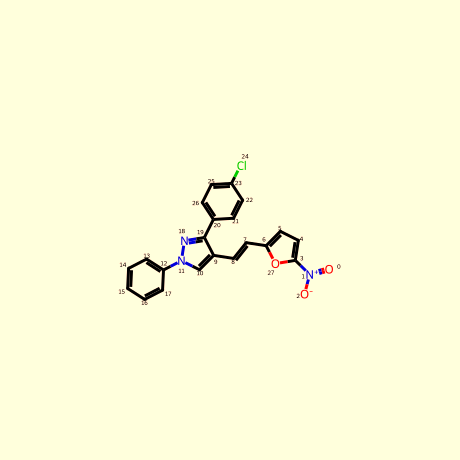 O=[N+]([O-])c1ccc(/C=C/c2cn(-c3ccccc3)nc2-c2ccc(Cl)cc2)o1